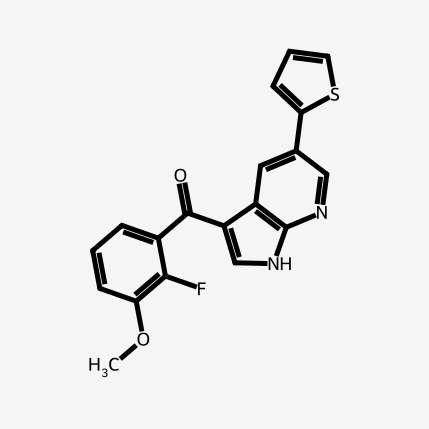 COc1cccc(C(=O)c2c[nH]c3ncc(-c4cccs4)cc23)c1F